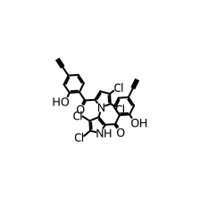 C#Cc1ccc(C(=O)c2[nH]c(Cl)c(Cl)c2-n2c(C(=O)c3ccc(C#C)cc3O)cc(Cl)c2Cl)c(O)c1